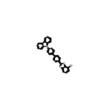 Brc1cccc2nc(-c3ccc(-c4ccc(-n5c6ccccc6c6ccccc65)cc4)cc3)oc12